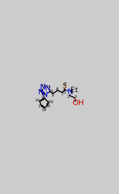 CCN(CCO)C(=S)CCCc1nnnn1-c1ccccc1